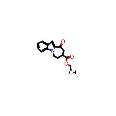 CCOC(=O)C1CCn2c(cc3ccccc32)C(=O)C1